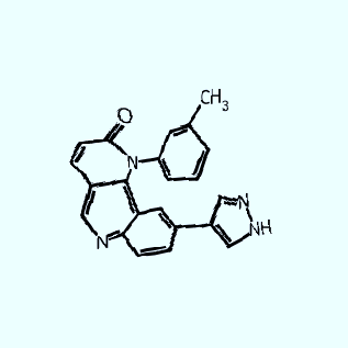 Cc1cccc(-n2c(=O)ccc3cnc4ccc(-c5cn[nH]c5)cc4c32)c1